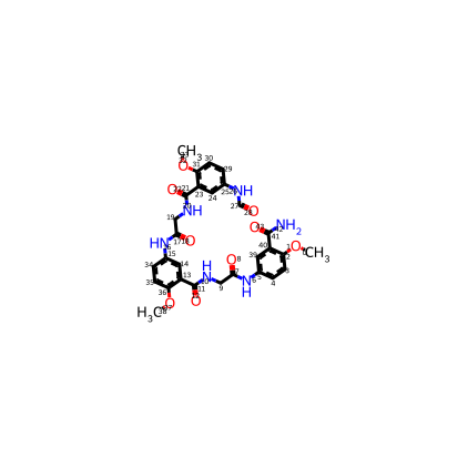 COc1ccc(NC(=O)CNC(=O)c2cc(NC(=O)CNC(=O)c3cc(NC=O)ccc3OC)ccc2OC)cc1C(N)=O